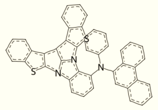 c1ccc(N(c2cc3ccccc3c3ccccc23)c2cccc3c2n2c4sc5ccccc5c4c4c5c6ccccc6sc5n3c42)cc1